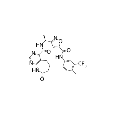 Cc1ccc(NC(=O)c2cc([C@H](C)NC(=O)c3ncnc4c3CCCC(=O)N4)no2)cc1C(F)(F)F